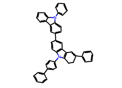 C1=C(c2ccccc2)CCc2c1c1cc(-c3ccc4c(c3)c3ccccc3n4-c3ccccc3)ccc1n2-c1ccc(-c2ccccc2)cc1